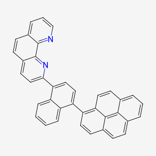 c1cnc2c(c1)ccc1ccc(-c3ccc(-c4ccc5ccc6cccc7ccc4c5c67)c4ccccc34)nc12